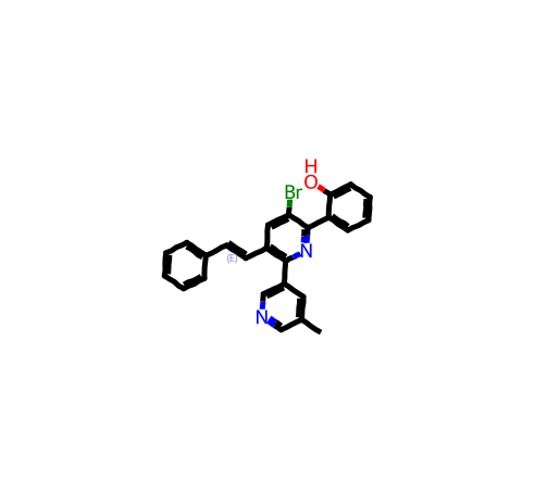 Cc1cncc(-c2nc(-c3ccccc3O)c(Br)cc2/C=C/c2ccccc2)c1